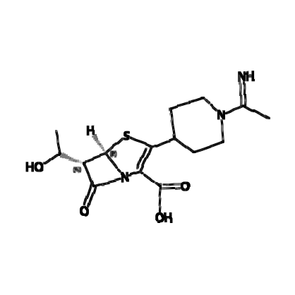 CC(=N)N1CCC(C2=C(C(=O)O)N3C(=O)[C@H](C(C)O)[C@H]3S2)CC1